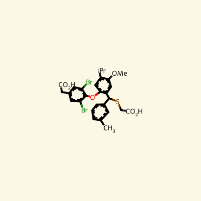 COc1cc(C(SCC(=O)O)c2cccc(C)c2)c(Oc2c(Br)cc(CC(=O)O)cc2Br)cc1C(C)C